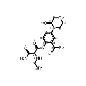 CC(C)CN[C@@H](C(N)=O)C(=O)Nc1ccc(N2CCOCC2=O)cc1C(F)F